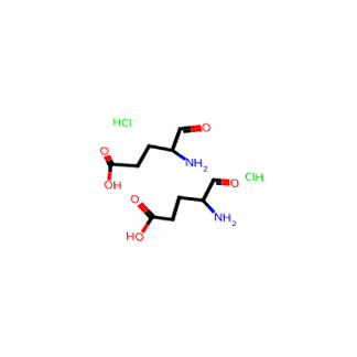 Cl.Cl.NC(C=O)CCC(=O)O.NC(C=O)CCC(=O)O